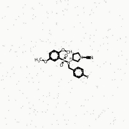 COc1ccc(OC)c(S(=O)(=O)N(Cc2ccc(F)cc2)[C@@H]2CCN(C#N)C2)c1